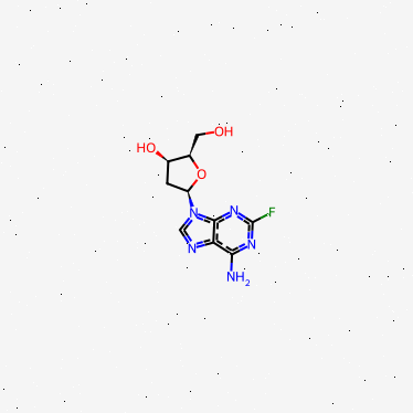 Nc1nc(F)nc2c1ncn2[C@H]1C[C@@H](O)[C@@H](CO)O1